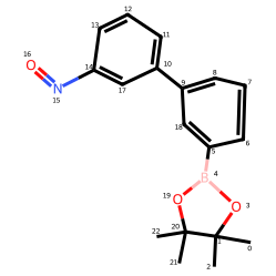 CC1(C)OB(c2cccc(-c3cccc(N=O)c3)c2)OC1(C)C